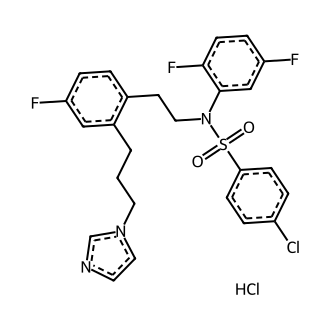 Cl.O=S(=O)(c1ccc(Cl)cc1)N(CCc1ccc(F)cc1CCCn1ccnc1)c1cc(F)ccc1F